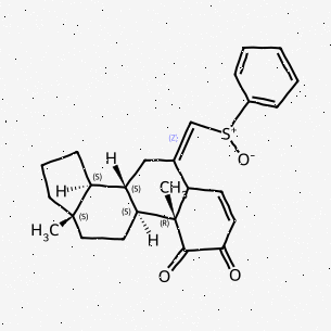 C[C@@]12CCC[C@H]1[C@@H]1C/C(=C/[S+]([O-])c3ccccc3)C3C=CC(=O)C(=O)[C@]3(C)[C@H]1CC2